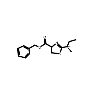 CC[C@@H](C)C1=NC(C(=O)OCc2ccccc2)CS1